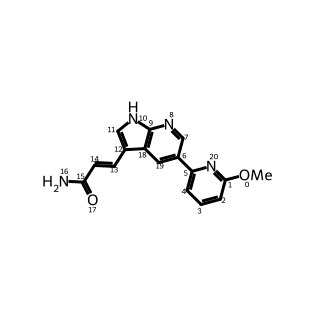 COc1cccc(-c2cnc3[nH]cc(C=CC(N)=O)c3c2)n1